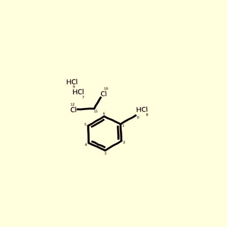 Cc1ccccc1.Cl.Cl.Cl.ClCCl